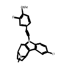 COc1ccc(C#Cn2c3c(c4cc(Cl)ccc42)C2CCC(C3)N2C)cc1F